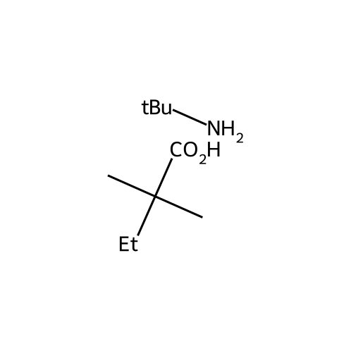 CC(C)(C)N.CCC(C)(C)C(=O)O